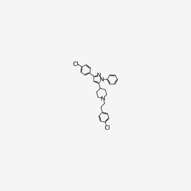 Clc1ccc(CCN2CCC(c3cc(-c4ccc(Cl)cc4)nn3-c3ccccc3)CC2)cc1